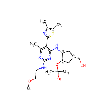 CCOCCNc1nc(C)c(-c2nc(C)c(C)s2)c(N[C@@H]2C[C@H](CO)C[C@H]2OC(C)(C)O)n1